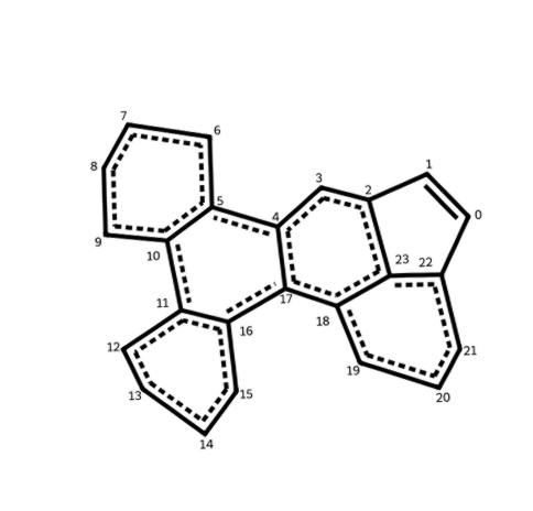 C1=Cc2cc3c4ccccc4c4ccccc4c3c3cccc1c23